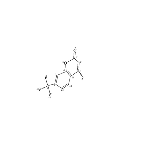 Cc1cc(=O)oc2cc(C(F)(F)F)ccc12